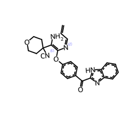 C=C/C=N\C(Oc1ccc(C(=O)c2nc3ccccc3[nH]2)cc1)=C(/N)C1(C#N)CCOCC1